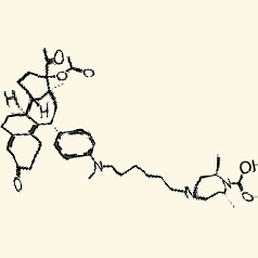 CC(=O)O[C@]1(C(C)=O)CC[C@H]2[C@@H]3CCC4=CC(=O)CCC4=C3[C@@H](c3ccc(N(C)CCCCCCN4C[C@@H](C)N(C(=O)O)[C@H](C)C4)cc3)C[C@@]21C